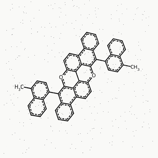 Cc1ccc(-c2c3ccccc3c3ccc4oc5c(-c6ccc(C)c7ccccc67)c6ccccc6c6ccc7oc2c3c4-c7c56)c2ccccc12